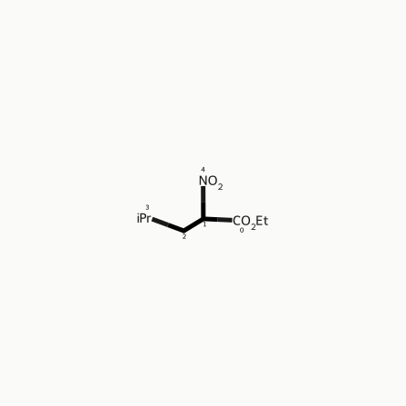 CCOC(=O)C(CC(C)C)[N+](=O)[O-]